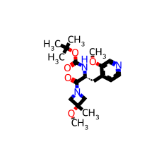 COc1cnccc1C[C@@H](NC(=O)OC(C)(C)C)C(=O)N1CC(C)(OC)C1